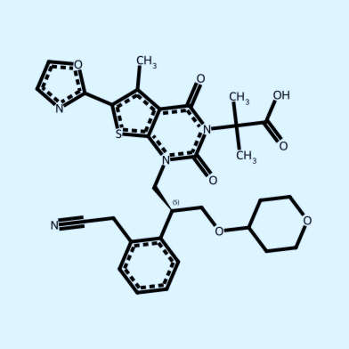 Cc1c(-c2ncco2)sc2c1c(=O)n(C(C)(C)C(=O)O)c(=O)n2C[C@@H](COC1CCOCC1)c1ccccc1CC#N